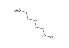 COCCNCCOC(F)(F)F